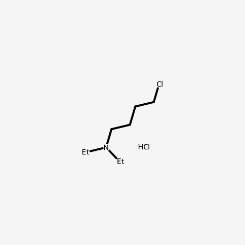 CCN(CC)CCCCCl.Cl